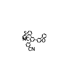 N#Cc1cccc(-c2cc(-c3ccc4oc5ccccc5c4c3)cc(-c3cccc4sc5ccccc5c34)c2C#N)c1